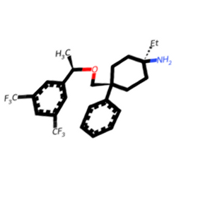 CC[C@]1(N)CC[C@](CO[C@H](C)c2cc(C(F)(F)F)cc(C(F)(F)F)c2)(c2ccccc2)CC1